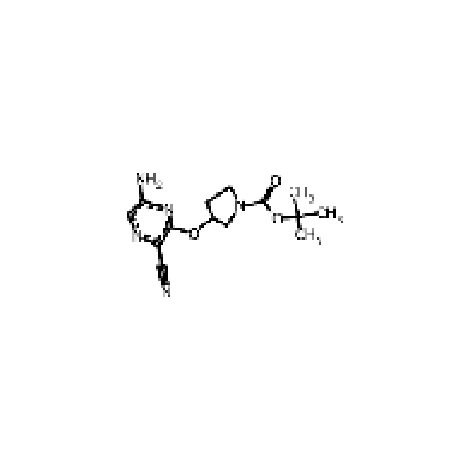 CC(C)(C)OC(=O)N1CCC(Oc2nc(N)cnc2C#N)C1